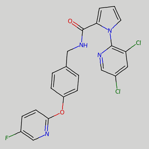 O=C(NCc1ccc(Oc2ccc(F)cn2)cc1)c1cccn1-c1ncc(Cl)cc1Cl